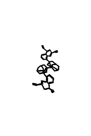 C#Cc1cc(C#C)c2cccc(C34CC5CC(C3)CC(C36CC7CC(CC(c8cccc9c(C#C)cc(C#C)cc89)(C7)C3)C6)(C5)C4)c2c1